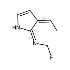 C/C=C1/C=CN/C1=N/CF